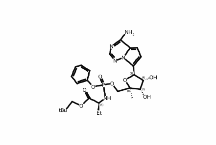 CC[C@H](NP(=O)(OC[C@@]1(C)O[C@@H](c2ccc3c(N)ncnn23)[C@H](O)[C@@H]1O)Oc1ccccc1)C(=O)OCC(C)(C)C